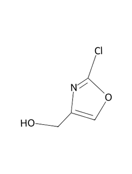 OCc1coc(Cl)n1